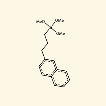 CO[Si](CCCc1ccc2ccccc2c1)(OC)OC